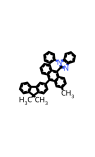 Cc1ccc2c(-c3nc4ccccc4n3-c3ccccc3)c3ccccc3c(-c3ccc4c(c3)-c3ccccc3C4(C)C)c2c1